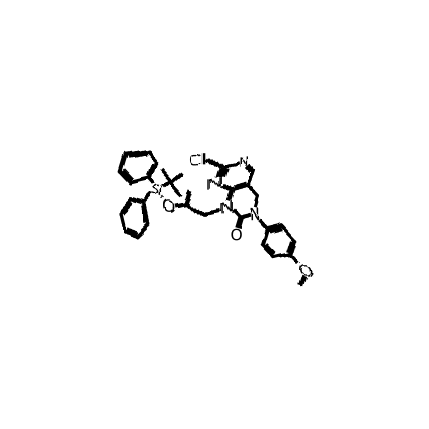 COc1ccc(N2Cc3cnc(Cl)nc3N(CC(C)O[Si](c3ccccc3)(c3ccccc3)C(C)(C)C)C2=O)cc1